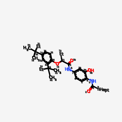 CCCCCCCC(=O)Nc1ccc(NC(=O)C(CC)Oc2ccc(C(C)(C)CC)cc2C(C)(C)CC)cc1O